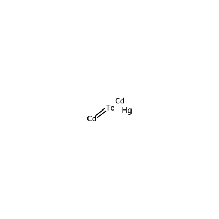 [Cd].[Cd]=[Te].[Hg]